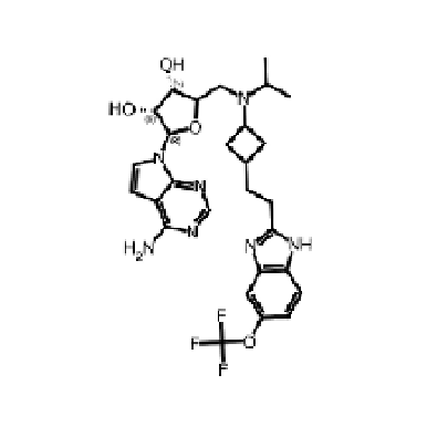 CC(C)N(CC1O[C@@H](n2ccc3c(N)ncnc32)[C@H](O)[C@@H]1O)C1CC(CCc2nc3cc(OC(F)(F)F)ccc3[nH]2)C1